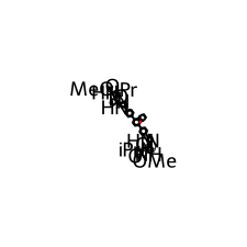 COC(=O)N[C@H](C(=O)N1CCCC1c1ncc(-c2ccc(-c3ccc(-c4ccc(-c5cnc([C@@H]6CCCN6C(=O)[C@@H](NC(=O)OC)C(C)C)[nH]5)cc4)c4c3C3C=CC4C3)cc2)[nH]1)C(C)C